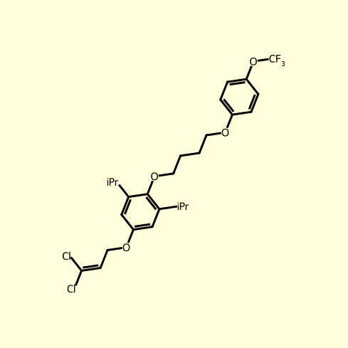 CC(C)c1cc(OCC=C(Cl)Cl)cc(C(C)C)c1OCCCCOc1ccc(OC(F)(F)F)cc1